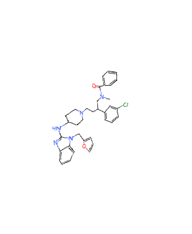 CN(CC(CCN1CCC(Nc2nc3ccccc3n2Cc2ccco2)CC1)c1cccc(Cl)c1)C(=O)c1ccccc1